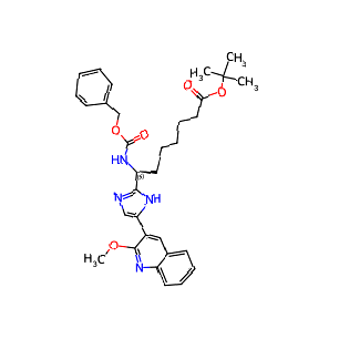 COc1nc2ccccc2cc1-c1cnc([C@H](CCCCCC(=O)OC(C)(C)C)NC(=O)OCc2ccccc2)[nH]1